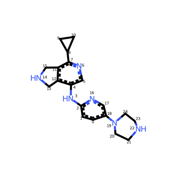 c1cc(Nc2cnc(C3CC3)c3c2CNC3)ncc1N1CCNCC1